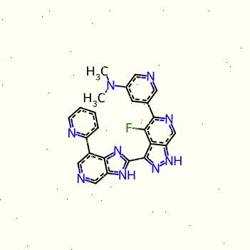 CN(C)c1cncc(-c2ncc3[nH]nc(-c4nc5c(-c6ccccn6)cncc5[nH]4)c3c2F)c1